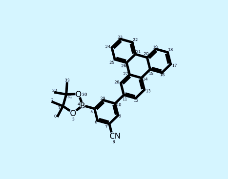 CC1(C)OB(c2cc(C#N)cc(-c3ccc4c5ccccc5c5ccccc5c4c3)c2)OC1(C)C